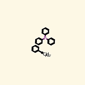 C#Cc1ccccc1.[Au].c1ccc(P(c2ccccc2)c2ccccc2)cc1